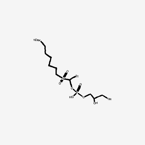 CCCCCCCCCCCCCCCCS(=O)(=O)C(CC)OP(=O)(O)OCC(O)CO